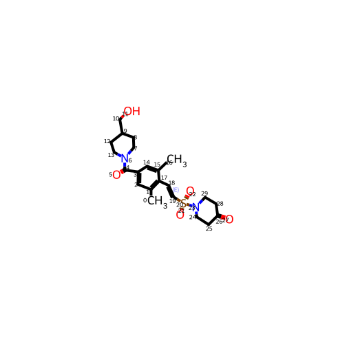 Cc1cc(C(=O)N2CCC(CO)CC2)cc(C)c1/C=C/S(=O)(=O)N1CCC(=O)CC1